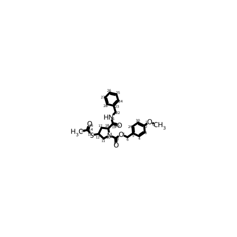 COc1ccc(COC(=O)N2CC(SC(C)=O)CC2C(=O)NCc2ccccc2)cc1